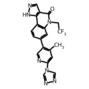 Cc1cc(-n2cnnc2)ncc1-c1ccc2c3[nH]ncc3c(=O)n(CC(F)(F)F)c2c1